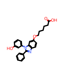 O=C(O)CCCCCOc1ccc2nc(-c3ccccc3)n(-c3cccc(O)c3)c2c1